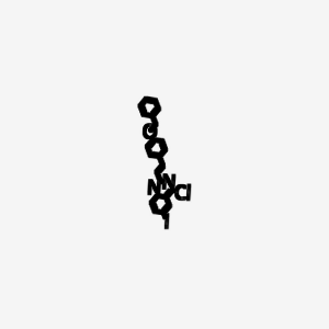 Clc1nc(C=Cc2ccc(OCc3ccccc3)cc2)nc2ccc(I)cc12